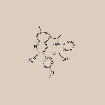 COc1ccc(-c2cc3c([C@@H](C)Nc4ccccc4C(=O)O)cc(C)cc3nc2C#N)cc1